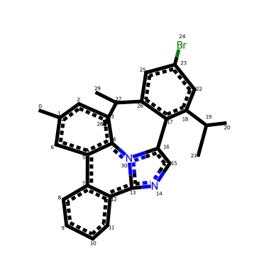 Cc1ccc2c(c1)c1ccccc1c1ncc(-c3c(C(C)C)cc(Br)cc3C(C)C)n21